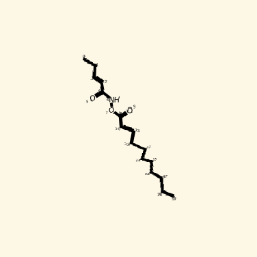 CCC=CC(=O)NOC(=O)C=CCCCCCCCC